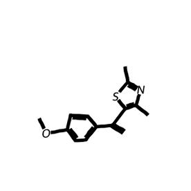 C=C(c1ccc(OC)cc1)c1sc(C)nc1C